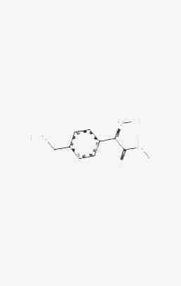 CNC(=O)C(=NO)c1ccc(CN)cc1